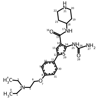 CCN(CC)CCOc1ccc(-c2cc(C(=O)NC3CCNCC3)c(NC(N)=O)s2)cc1